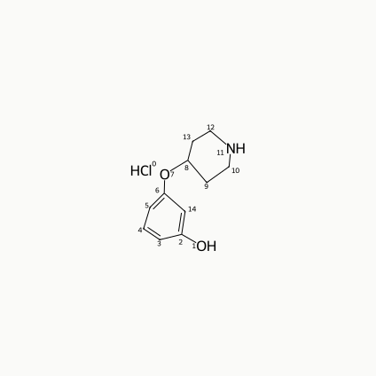 Cl.Oc1cccc(OC2CCNCC2)c1